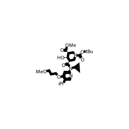 COCCCOc1cc(N(C(=O)[C@H]2CN(C(=O)OC(C)(C)C)C[C@@H](C(=O)OC)[C@H]2O)C2CC2)ncc1C(C)C